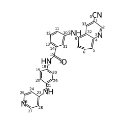 N#Cc1cnc2cccc(Nc3cccc(C(=O)Nc4ccc(Nc5ccncc5)cc4)c3)c2c1